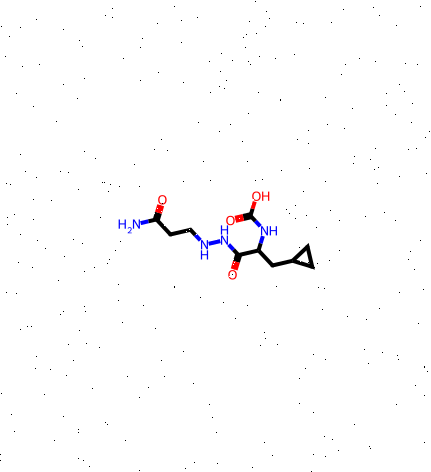 NC(=O)CCNNC(=O)C(CC1CC1)NC(=O)O